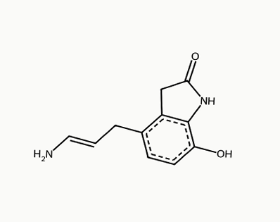 NC=CCc1ccc(O)c2c1CC(=O)N2